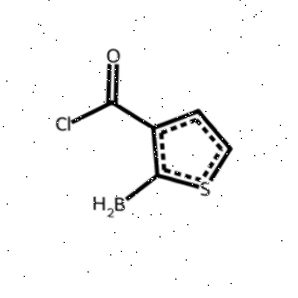 Bc1sccc1C(=O)Cl